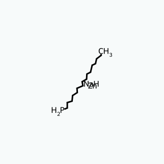 CCCCCCCCCCCCCCCCP.[NaH].[Zn]